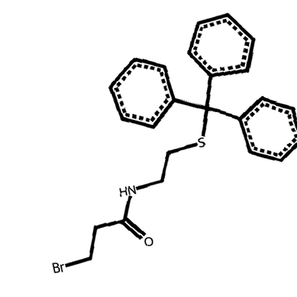 O=C(CCBr)NCCSC(c1ccccc1)(c1ccccc1)c1ccccc1